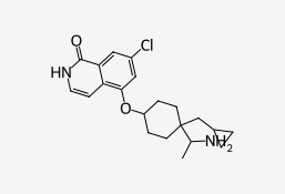 CC(N)C1(CC2CC2)CCC(Oc2cc(Cl)cc3c(=O)[nH]ccc23)CC1